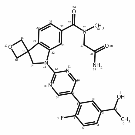 CC(O)c1ccc(F)c(-c2cnc(N3CC4(COC4)c4ccc(C(=O)N(C)CC(N)=O)cc43)nc2)c1